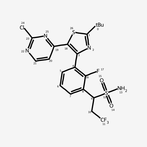 CC(C)(C)c1nc(-c2cccc(C(CC(F)(F)F)S(N)(=O)=O)c2F)c(-c2ccnc(Cl)n2)s1